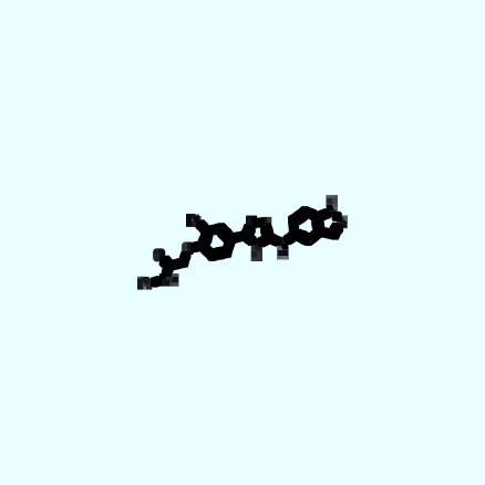 CCc1cc(-c2nnc(Nc3ccc4[nH]ncc4c3)[nH]2)ccc1OCC(=O)NC(C)C